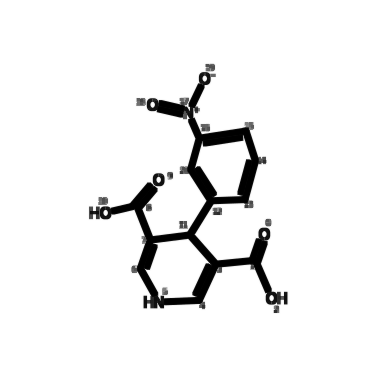 O=C(O)C1=CNC=C(C(=O)O)C1c1cccc([N+](=O)[O-])c1